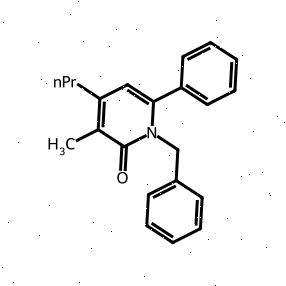 CCCc1cc(-c2ccccc2)n(Cc2ccccc2)c(=O)c1C